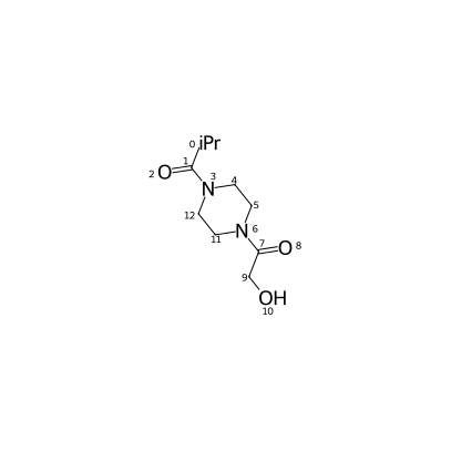 CC(C)C(=O)N1CCN(C(=O)CO)CC1